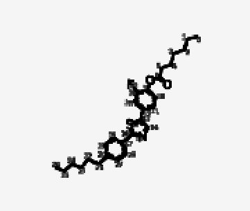 CCCCCCC(=O)Oc1ccc(-c2cnc(-c3ccc(CCCCCC)cc3)s2)cc1F